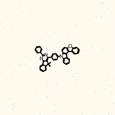 CC1(C)c2ccccc2-c2nc(-c3ccccc3)nc(-c3ccc(-n4c5ccccc5c5c6c(ccc54)oc4ccccc46)cc3)c21